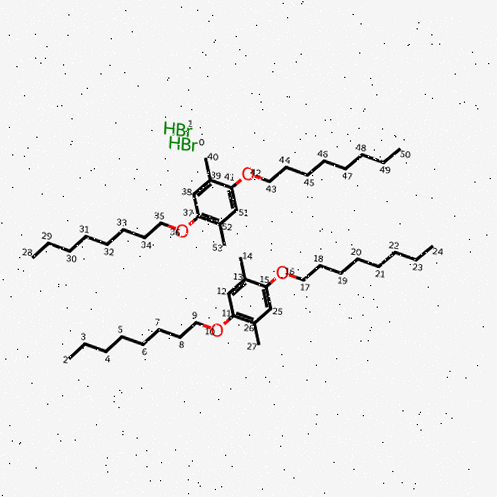 Br.Br.CCCCCCCCOc1cc(C)c(OCCCCCCCC)cc1C.CCCCCCCCOc1cc(C)c(OCCCCCCCC)cc1C